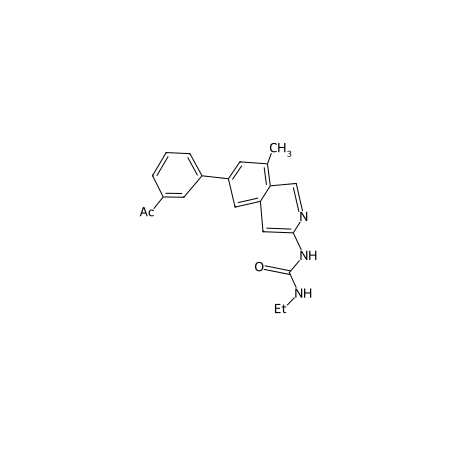 CCNC(=O)Nc1cc2cc(-c3cccc(C(C)=O)c3)cc(C)c2cn1